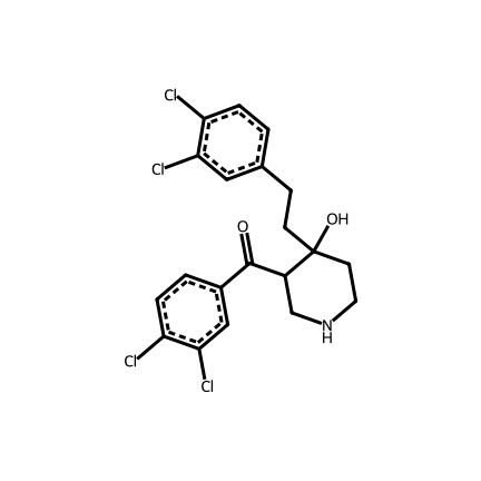 O=C(c1ccc(Cl)c(Cl)c1)C1CNCCC1(O)CCc1ccc(Cl)c(Cl)c1